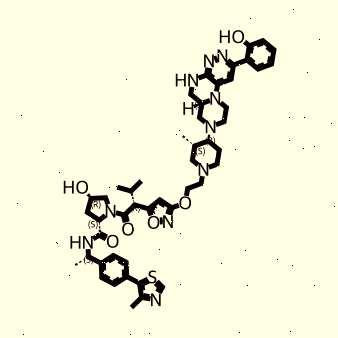 Cc1ncsc1-c1ccc([C@H](C)NC(=O)[C@@H]2C[C@@H](O)CN2C(=O)[C@@H](c2cc(OCCN3CC[C@@H](N4CCN5c6cc(-c7ccccc7O)nnc6NC[C@H]5C4)[C@@H](C)C3)no2)C(C)C)cc1